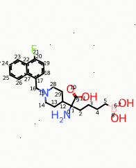 NC(CCCCB(O)O)(C(=O)O)C1CCN(Cc2ccc(F)c3ccccc23)CC1